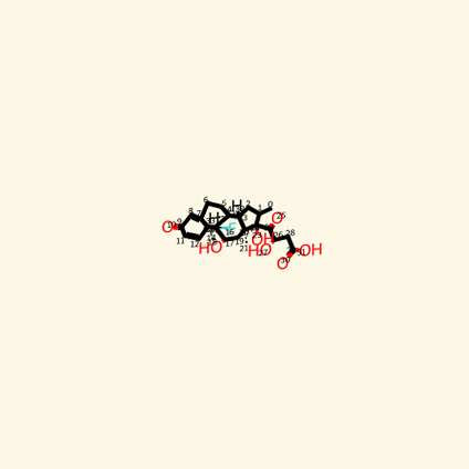 CC1C[C@H]2[C@@H]3CCC4=CC(=O)C=C[C@]4(C)[C@@]3(F)C(O)C[C@]2(C)[C@@]1(O)C(=O)C(O)CC(=O)O